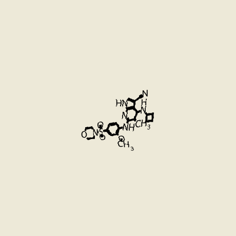 COc1cc(S(=O)(=O)N2CCOCC2)ccc1NC1=Nc2[nH]cc(C#N)c2C(NC2CCC2)C1C